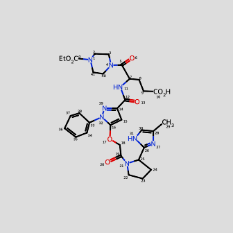 CCOC(=O)N1CCN(C(=O)C(CCC(=O)O)NC(=O)c2cc(OCC(=O)N3CCCC3c3nc(C)c[nH]3)n(-c3ccccc3)n2)CC1